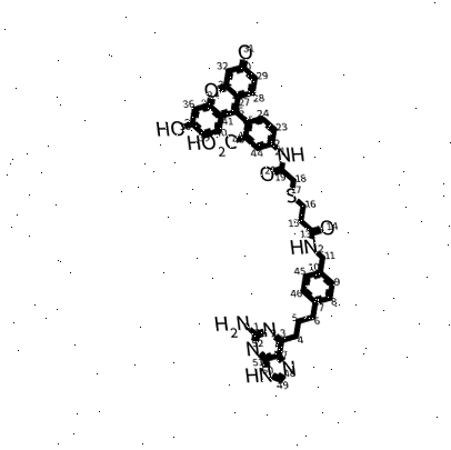 Nc1nc(CCCc2ccc(CNC(=O)CCSCC(=O)Nc3ccc(-c4c5ccc(=O)cc-5oc5cc(O)ccc45)c(C(=O)O)c3)cc2)c2nc[nH]c2n1